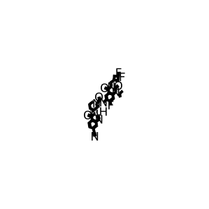 CC(C)n1c(=O)n(CC2CC(F)(F)C2)c(=O)c2cc(NC(=O)N3CCC[C@@H](n4cnc5cc(C#N)ccc5c4=O)C3)c(F)cc21